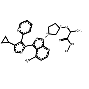 CCNC(=O)C(C)O[C@@H]1CC[C@@H](n2nc(-c3noc(C4CC4)c3-c3ccccn3)c3c(N)ncnc32)C1